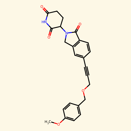 COc1ccc(COCC#Cc2ccc3c(c2)CN(C2CCC(=O)NC2=O)C3=O)cc1